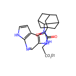 CCOC(=O)CNC(=O)C12CC3CC(C1)C(n1c(=O)[nH]c4cnc5[nH]ccc5c41)C(C3)C2